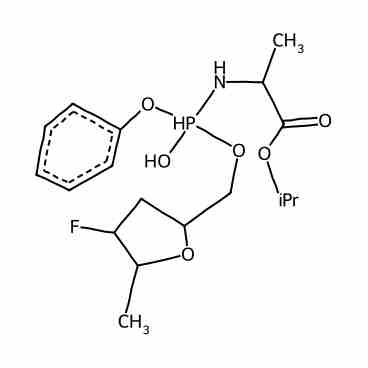 CC(C)OC(=O)C(C)N[PH](O)(OCC1CC(F)C(C)O1)Oc1ccccc1